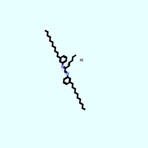 CCC/C=C/C(/C=N/c1cccc(CCCCCCCCCCC)c1)=N\c1cccc(CCCCCCCCCCC)c1.[Ni]